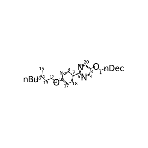 CCCCCCCCCCCOc1cnc(-c2ccc(OCC[C@@H](C)CCCC)cc2)nc1